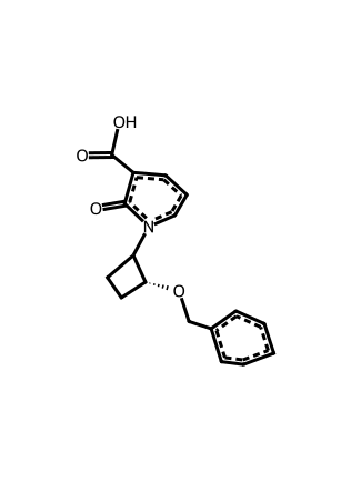 O=C(O)c1cccn(C2CC[C@H]2OCc2ccccc2)c1=O